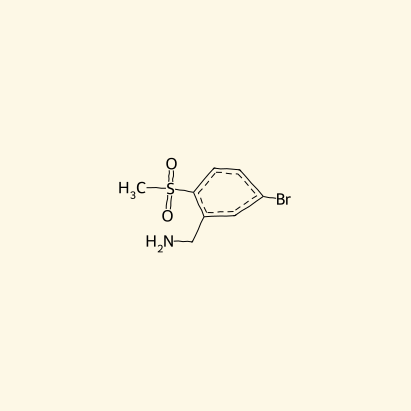 CS(=O)(=O)c1ccc(Br)cc1CN